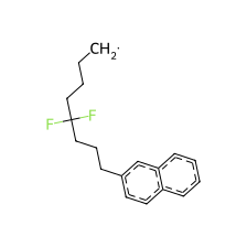 [CH2]CCCC(F)(F)CCCc1ccc2ccccc2c1